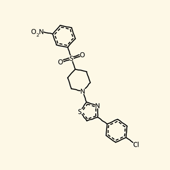 O=[N+]([O-])c1cccc(S(=O)(=O)C2CCN(c3nc(-c4ccc(Cl)cc4)cs3)CC2)c1